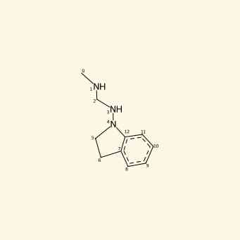 CNCNN1CCc2ccccc21